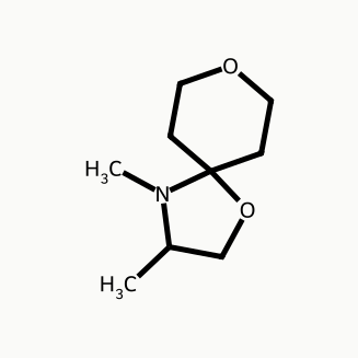 CC1COC2(CCOCC2)N1C